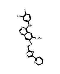 COc1cc2c(Nc3ccc(Cl)c(Cl)c3)ncnc2cc1OCc1nc(C2=NCCC=C2)cs1